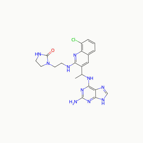 CC(Nc1nc(N)nc2[nH]cnc12)c1cc2cccc(Cl)c2nc1NCCN1CCNC1=O